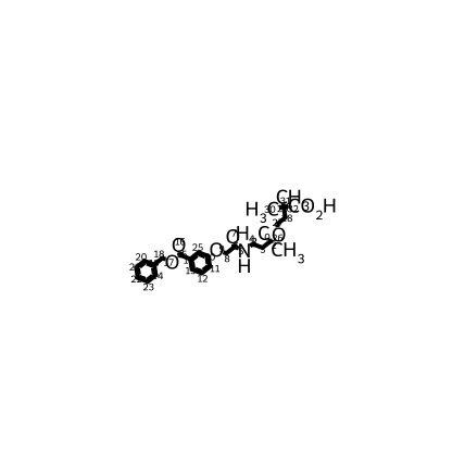 CC(C)(CCNC(=O)COc1cccc(C(=O)OCc2ccccc2)c1)OCCC(C)(C)C(=O)O